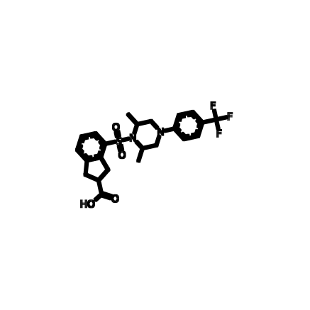 CC1CN(c2ccc(C(F)(F)F)cc2)CC(C)N1S(=O)(=O)c1cccc2c1CC(C(=O)O)C2